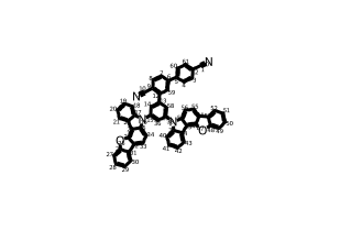 N#Cc1ccc(-c2ccc(C#N)c(-c3cc(-n4c5ccccc5c5c6oc7ccccc7c6ccc54)cc(-n4c5ccccc5c5c6oc7ccccc7c6ccc54)c3)c2)cc1